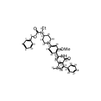 CCN(C(=O)OCc1ccccc1)C1CCN(c2ccc(-c3nc4c(c(-c5ccccc5)nn4C)c(=O)[nH]3)c(OC)c2)CC1